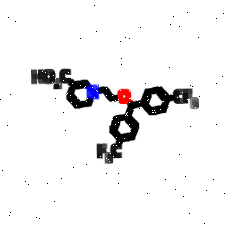 O=C(O)C1=CN(CCOC(c2ccc(C(F)(F)F)cc2)c2ccc(C(F)(F)F)cc2)CC=C1